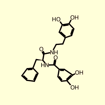 O=C(N[C@@H](Cc1ccccc1)C(=O)NCCc1ccc(O)c(O)c1)c1ccc(O)c(O)c1